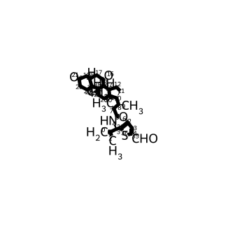 C=C(C)[C@@H](NC(=O)C[C@@H](C)[C@H]1CC[C@H]2[C@@H]3C(=O)C[C@@H]4CC(=O)CC[C@]4(C)[C@H]3CC[C@]12C)c1ccc(C=O)s1